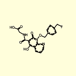 O=C(O)CNC(=O)c1c(O)c2cccnc2n(OCc2ccc(CF)cc2)c1=O